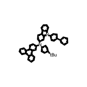 CC(C)(C)c1ccc(N(c2ccc3c4ccccc4c4ccccc4c3c2)c2ccc3c4ccccc4n(-c4ccc(-c5ccccc5)cc4)c3c2)cc1